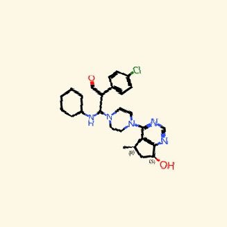 C[C@@H]1C[C@H](O)c2ncnc(N3CCN(C(NC4CCCCC4)C(C=O)c4ccc(Cl)cc4)CC3)c21